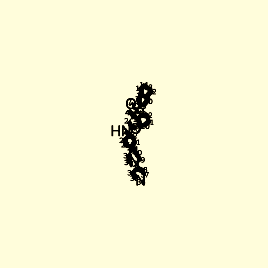 O=C(C[C@H](CS(=O)(=O)c1ccc2ccccc2c1)c1ccccc1)Nc1ccc(N2CCN(c3ccncc3)CC2)cc1